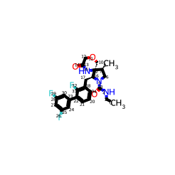 CCNC(=O)N1C[C@@H](C)[C@@]2(COCC(=O)N2)[C@@H]1Cc1cccc(-c2cc(F)cc(F)c2)c1F